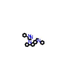 c1ccc(-c2cc(-n3c4ccccc4c4ccc5cc6c(ccn6-c6ccccc6)cc5c43)cnn2)cc1